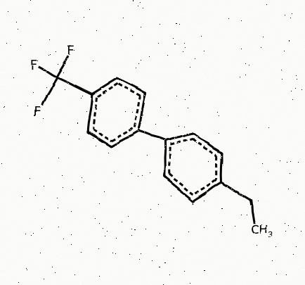 CCc1[c]cc(-c2ccc(C(F)(F)F)cc2)cc1